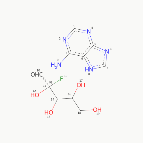 Nc1ncnc2nc[nH]c12.O=C[C@](O)(F)C(O)C(O)CO